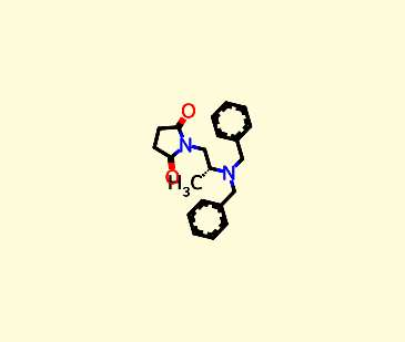 C[C@H](CN1C(=O)CCC1=O)N(Cc1ccccc1)Cc1ccccc1